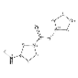 CNC1CCN(C(=O)C[C@@H]2CCOC2)C1